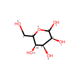 OCC1OC(O)[C@@H](O)[C@@H](O)[C@H]1O